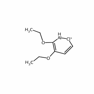 CCOC1=[C](OCC)[AlH][Cl+]C=C1